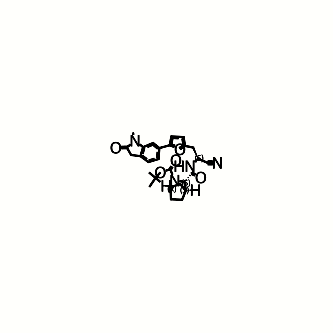 CN1C(=O)Cc2ccc(-c3ccc(C[C@@H](C#N)NC(=O)[C@@H]4[C@H]5CC[C@H](C5)N4C(=O)OC(C)(C)C)o3)cc21